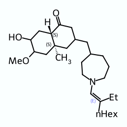 CCCCCC/C(=C/N1CCCC(CC2CC(=O)[C@H]3CC(O)C(OC)C[C@]3(C)C2)CC1)CC